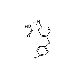 Nc1ccc(Sc2ccc(F)cc2)cc1C(=O)O